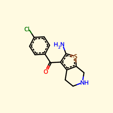 Nc1sc2c(c1C(=O)c1ccc(Cl)cc1)CCNC2